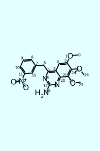 COc1cc2c(Cc3cccc([N+](=O)[O-])c3)nc(N)nc2c(OC)c1OC